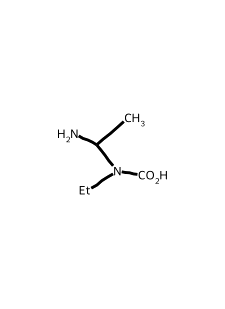 CCN(C(=O)O)C(C)N